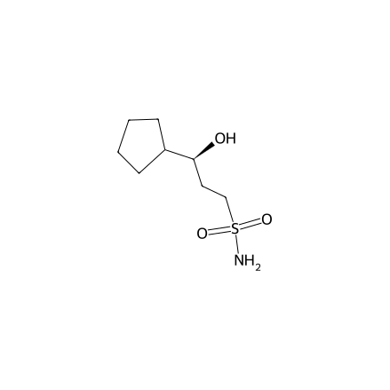 NS(=O)(=O)CC[C@H](O)C1CCCC1